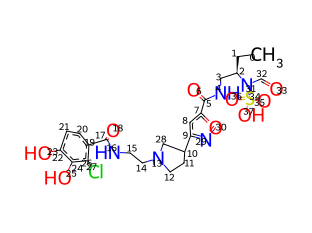 CC[C@H](CNC(=O)c1cc(C2CCN(CCNC(=O)c3ccc(O)c(O)c3Cl)C2)no1)N(C=O)S(=O)(=O)O